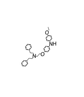 CCOc1ccc(Nc2ccc(OCCN(CCc3ccccc3)CCc3ccccc3)cc2)cc1